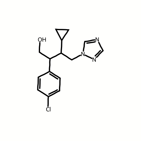 OCC(c1ccc(Cl)cc1)C(Cn1cncn1)C1CC1